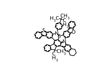 CC(C)(C)c1ccc(N2B3c4cc5c(cc4-n4c6cc7c(cc6c6c8c(c(c3c64)-c3cc4c(cc32)sc2ccccc24)-c2ccccc2C8(C)C)CCCC7)oc2ccccc25)cc1